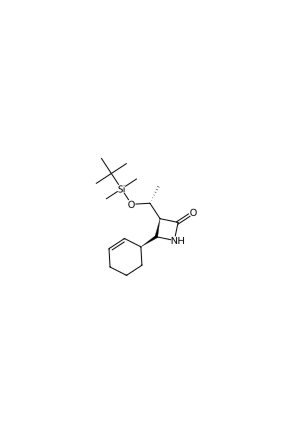 C[C@@H](O[Si](C)(C)C(C)(C)C)[C@H]1C(=O)NC1[C@@H]1C=CCCC1